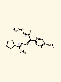 CO/C=C(F)/C(=C\C=C(/C)C1CCCC1)c1cnc(N)cn1